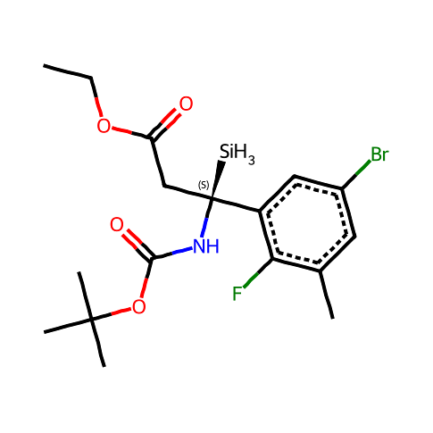 CCOC(=O)C[C@@]([SiH3])(NC(=O)OC(C)(C)C)c1cc(Br)cc(C)c1F